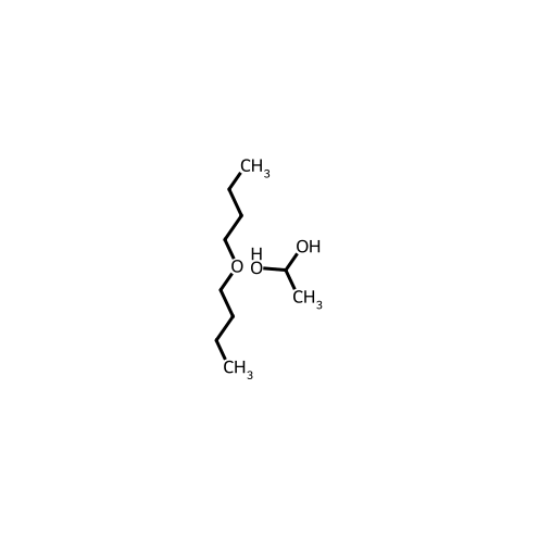 CC(O)O.CCCCOCCCC